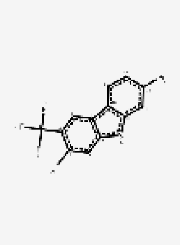 FC(F)(F)c1cc2c(cc1I)sc1cc(Br)ccc12